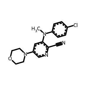 CN(c1ccc(Cl)cc1)c1cc(N2CCOCC2)cnc1C#N